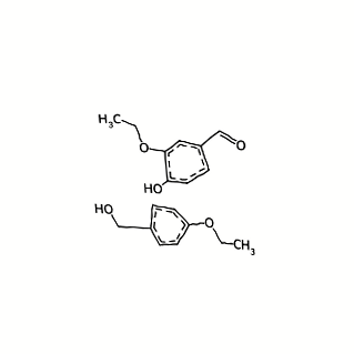 CCOc1cc(C=O)ccc1O.CCOc1ccc(CO)cc1